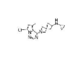 Cc1cc(Cl)n2ncnc(N3CC4(CC(NC5CC5)C4)C3)c12